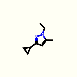 CCn1nc(C2CC2)cc1C